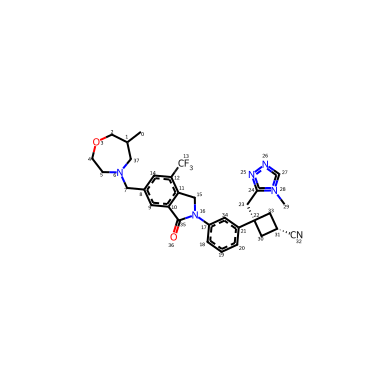 CC1COCCN(Cc2cc3c(c(C(F)(F)F)c2)CN(c2cccc([C@]4(Cc5nncn5C)C[C@@H](C#N)C4)c2)C3=O)C1